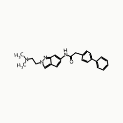 CN(C)CCn1cc2ccc(NC(=O)Cc3ccc(-c4ccccc4)cc3)cc2n1